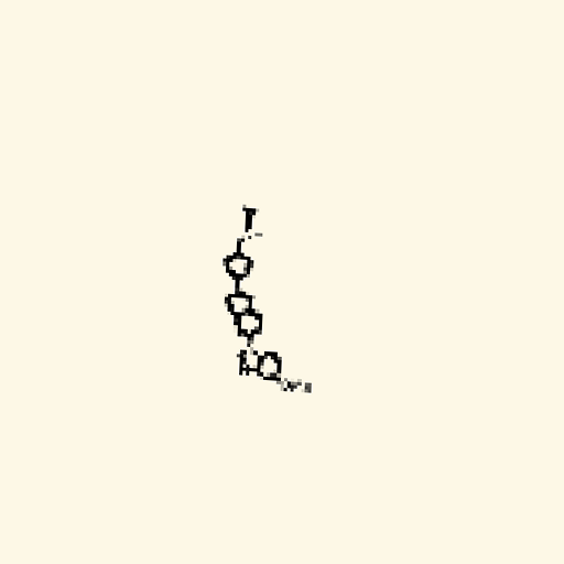 COc1ccc2c(c1)ncn2-c1ccc2cc(-c3ccc(CNC4CC4)cc3)ccc2n1